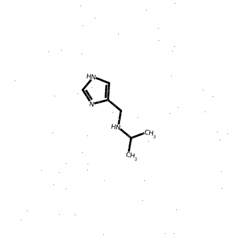 CC(C)NCc1c[nH]cn1